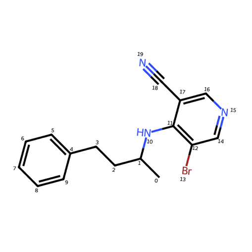 CC(CCc1ccccc1)Nc1c(Br)cncc1C#N